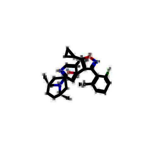 Cc1cccc(F)c1-c1noc(C2CC2)c1CO[C@@H]1C[C@H]2CC[C@@H](C1)N2c1ccc(C(=O)O)cn1